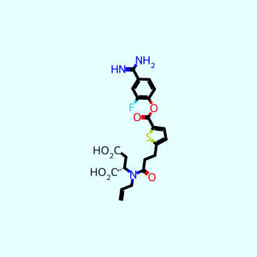 C=CCN(C(=O)CCc1ccc(C(=O)Oc2ccc(C(=N)N)cc2F)s1)[C@@H](CC(=O)O)C(=O)O